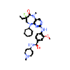 CCC1(F)CN(C2CCCCC2)c2nc(Nc3ccc(C(=O)NC4CCN(C)CC4)cc3OC)ncc2N(C)C1=O